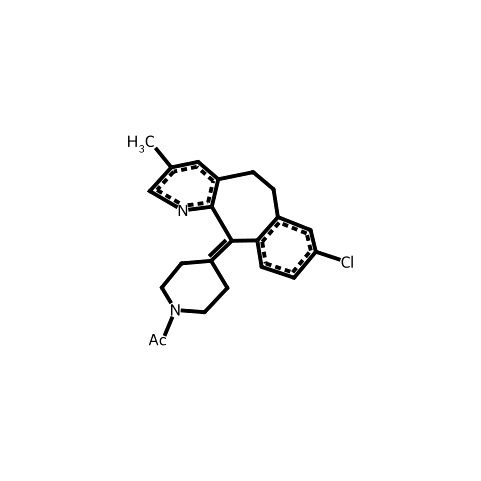 CC(=O)N1CCC(=C2c3ccc(Cl)cc3CCc3cc(C)cnc32)CC1